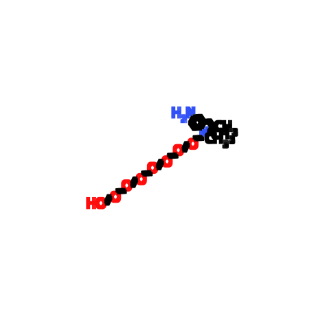 CC1Cc2cc(N)ccc2N(CCOCCOCCOCCOCCOCCOCCOCCO)C1(C)C